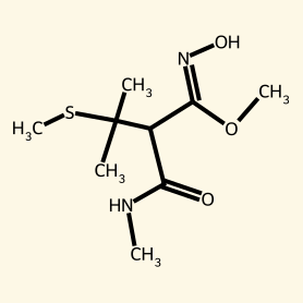 CNC(=O)C(C(=NO)OC)C(C)(C)SC